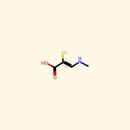 CN/C=C(\S)C(=O)O